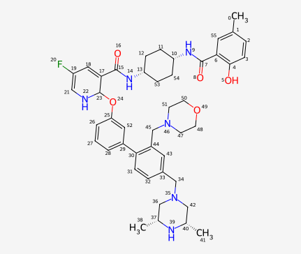 Cc1ccc(O)c(C(=O)N[C@H]2CC[C@@H](NC(=O)C3=CC(F)=CNC3Oc3cccc(-c4ccc(CN5C[C@@H](C)N[C@@H](C)C5)cc4CN4CCOCC4)c3)CC2)c1